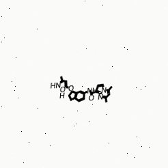 CC(=N)/C=C(\O)OC1CCc2ccc(NC(=O)c3ccn4c(C)cc(C)nc34)cc21